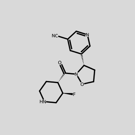 N#Cc1cncc([C@@H]2CCON2C(=O)[C@H]2CCNC[C@@H]2F)c1